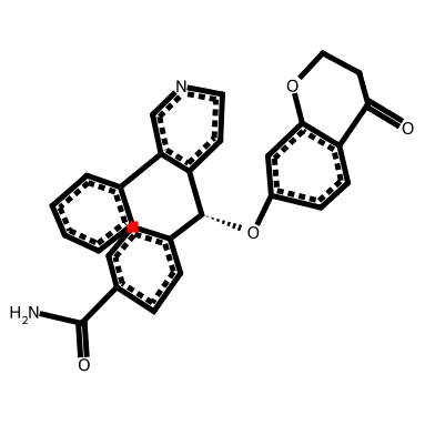 NC(=O)c1ccc([C@@H](Oc2ccc3c(c2)OCCC3=O)c2ccncc2-c2ccccc2)cc1